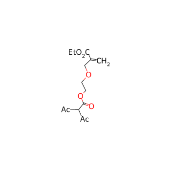 C=C(COCCOC(=O)C(C(C)=O)C(C)=O)C(=O)OCC